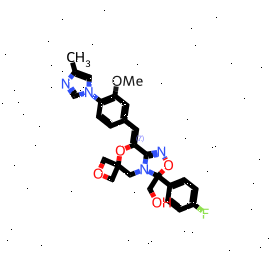 COc1cc(/C=C2\OC3(COC3)CN3C2=NOC3(CO)c2ccc(F)cc2)ccc1-n1cnc(C)c1